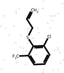 C=CCSc1c(Cl)[c]ccc1C(F)(F)F